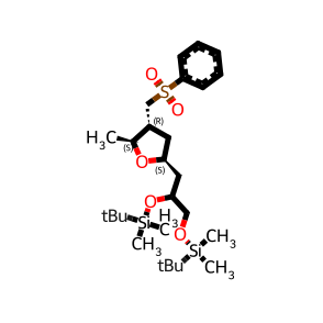 C[C@@H]1O[C@H](CC(CO[Si](C)(C)C(C)(C)C)O[Si](C)(C)C(C)(C)C)C[C@H]1CS(=O)(=O)c1ccccc1